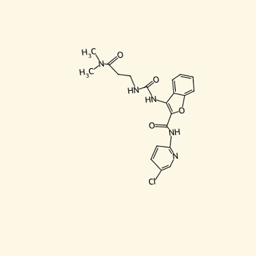 CN(C)C(=O)CCNC(=O)Nc1c(C(=O)Nc2ccc(Cl)cn2)oc2ccccc12